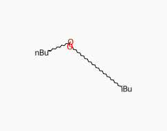 CCCCC=CCCCCCCCC(=O)OCCCCCCCCCCCCCCCCCCCCCCCCCCCC(C)CC